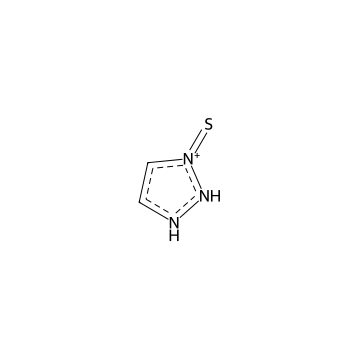 S=[n+]1cc[nH][nH]1